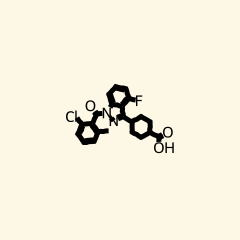 Cc1cccc(Cl)c1C(=O)n1nc(C2CCC(C(=O)O)CC2)c2c(F)cccc21